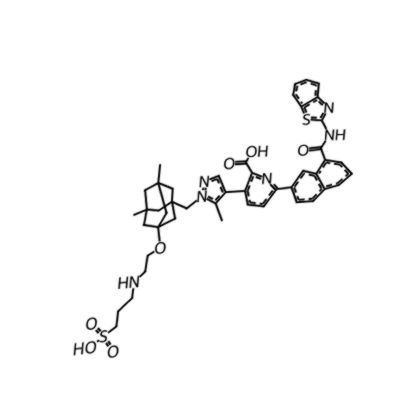 Cc1c(-c2ccc(-c3ccc4cccc(C(=O)Nc5nc6ccccc6s5)c4c3)nc2C(=O)O)cnn1CC12CC3(C)CC(C)(C1)CC(OCCNCCCS(=O)(=O)O)(C3)C2